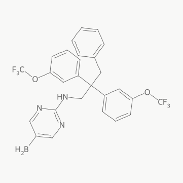 Bc1cnc(NCC(Cc2ccccc2)(c2cccc(OC(F)(F)F)c2)c2cccc(OC(F)(F)F)c2)nc1